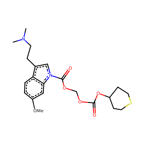 COc1ccc2c(CCN(C)C)cn(C(=O)OCOC(=O)OC3CCSCC3)c2c1